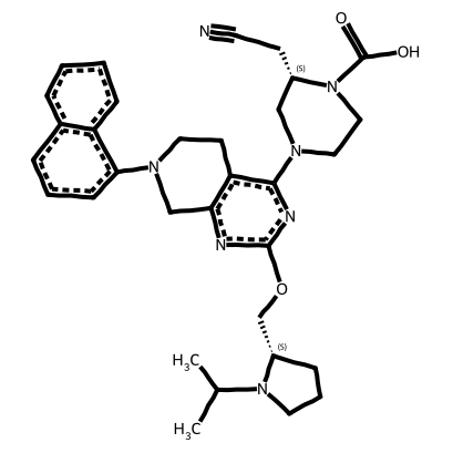 CC(C)N1CCC[C@H]1COc1nc2c(c(N3CCN(C(=O)O)[C@@H](CC#N)C3)n1)CCN(c1cccc3ccccc13)C2